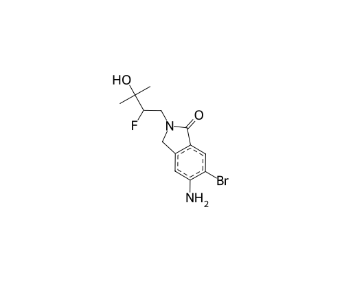 CC(C)(O)C(F)CN1Cc2cc(N)c(Br)cc2C1=O